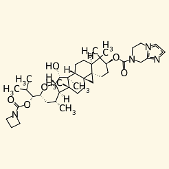 CC(C)[C@@H](OC(=O)N1CCC1)[C@H]1C[C@@H](C)[C@H]2[C@H](O1)[C@H](O)[C@@]1(C)[C@@H]3CC[C@H]4C(C)(C)[C@@H](OC(=O)N5CCn6ccnc6C5)CC[C@@]45C[C@@]35CC[C@]21C